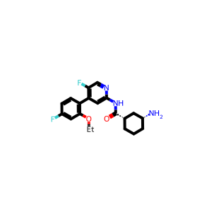 CCOc1cc(F)ccc1-c1cc(NC(=O)[C@H]2CCC[C@@H](N)C2)ncc1F